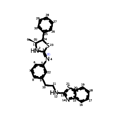 C[C@@H]1N/C(=N\c2cccc(CCNc3nc4ccccc4s3)c2)SC1c1ccccc1